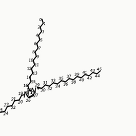 CCCCCCCCCCCCCCCCCc1n(CCCCCCC)cc[n+]1CCCCCCCCCCCCCCCCC